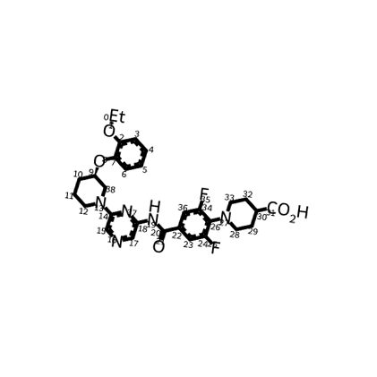 CCOc1ccccc1O[C@@H]1CCCN(c2cncc(NC(=O)c3cc(F)c(N4CCC(C(=O)O)CC4)c(F)c3)n2)C1